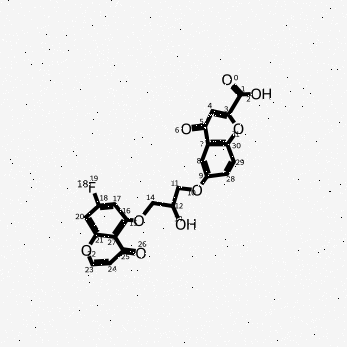 O=C(O)c1cc(=O)c2cc(OCC(O)COc3cc([18F])cc4occc(=O)c34)ccc2o1